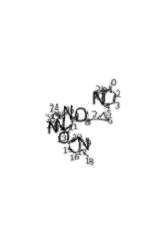 Cc1ccc([C@@H]2C[C@H]2COc2cc(Oc3ccc(C)nc3)n3nccc3n2)nc1